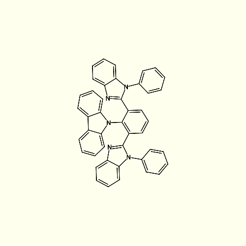 c1ccc(-n2c(-c3cccc(-c4nc5ccccc5n4-c4ccccc4)c3-n3c4ccccc4c4ccccc43)nc3ccccc32)cc1